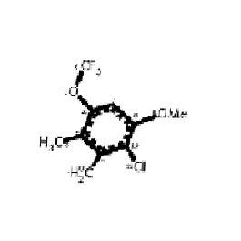 [CH2]c1c(C)c(OC(F)(F)F)cc(OC)c1Cl